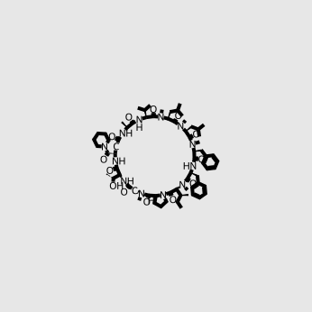 CC[C@H](C)[C@H]1C(=O)N2CCC[C@H]2C(=O)N(C)CC(=O)N[C@@H]([C@@H](C)O)C(=O)N[C@H](C(=O)N2CCCCC2)CC(=O)N[C@@H](C)C(=O)N[C@@H](C(C)C)C(=O)N(C)[C@@H](CC(C)C)C(=O)N(C)[C@@H](CC(C)C)C(=O)N(C)[C@@H](Cc2ccccc2)C(=O)N[C@@H](Cc2ccccc2)C(=O)N1C